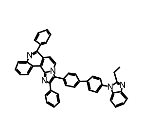 CCc1nc2ccccc2n1-c1ccc(-c2ccc(-c3c(-c4ccccc4)nc4c5c(ccn34)c(-c3ccccc3)nc3ccccc35)cc2)cc1